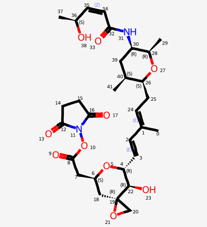 CC(/C=C/[C@H]1O[C@H](CC(=O)ON2C(=O)CCC2=O)C[C@@]2(CO2)[C@@H]1O)=C\C[C@@H]1O[C@H](C)[C@H](NC(=O)/C=C\[C@H](C)O)C[C@@H]1C